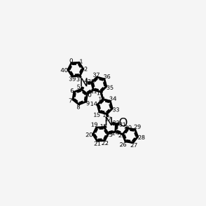 c1ccc(-n2c3ccccc3c3c(-c4ccc(-n5c6ccccc6c6c7ccccc7oc65)cc4)cccc32)cc1